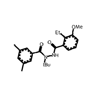 CCc1c(OC)cccc1C(=O)NN(C(=O)c1cc(C)cc(C)c1)C(C)(C)C